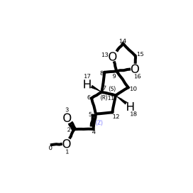 COC(=O)/C=C1\C[C@@H]2CC3(C[C@@H]2C1)OCCO3